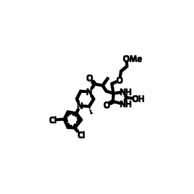 COCCOCC1(CC(C)C(=O)N2CCN(c3cc(Cl)cc(Cl)c3)[C@@H](C)C2)NC(O)NC1=O